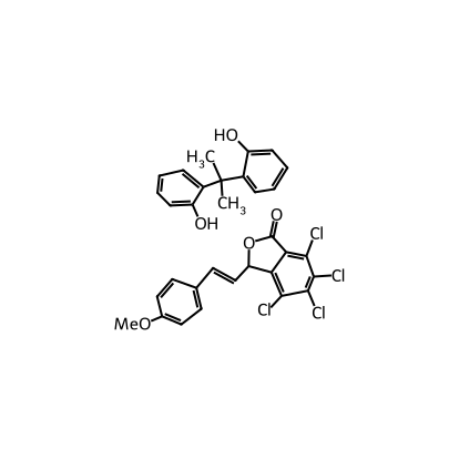 CC(C)(c1ccccc1O)c1ccccc1O.COc1ccc(C=CC2OC(=O)c3c(Cl)c(Cl)c(Cl)c(Cl)c32)cc1